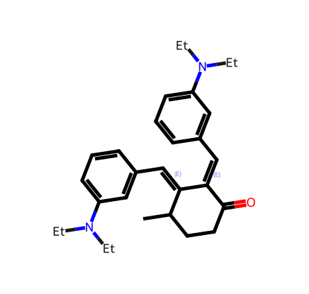 CCN(CC)c1cccc(/C=C2/C(=O)CCC(C)/C2=C\c2cccc(N(CC)CC)c2)c1